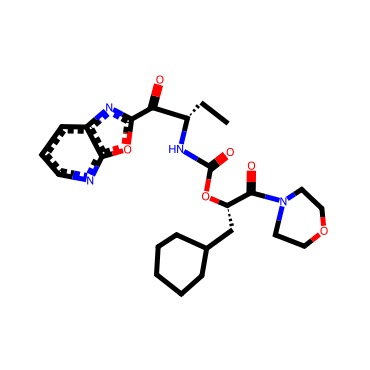 CC[C@H](NC(=O)O[C@@H](CC1CCCCC1)C(=O)N1CCOCC1)C(=O)c1nc2cccnc2o1